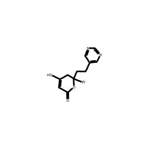 CC(C)C1(CCc2cncnc2)CC(O)=CC(=O)O1